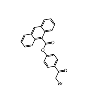 O=C(CBr)c1ccc(OC(=O)c2c3ccccc3cc3ccccc23)cc1